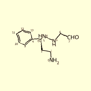 NCC[C@H](NNCC=O)c1ccccc1